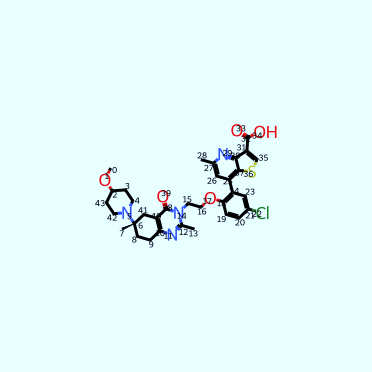 COC1CCN([C@@]2(C)CCc3nc(C)n(CCOc4ccc(Cl)cc4-c4cc(C)nc5c(C(=O)O)csc45)c(=O)c3C2)CC1